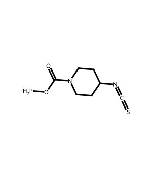 O=C(OP)N1CCC(N=C=S)CC1